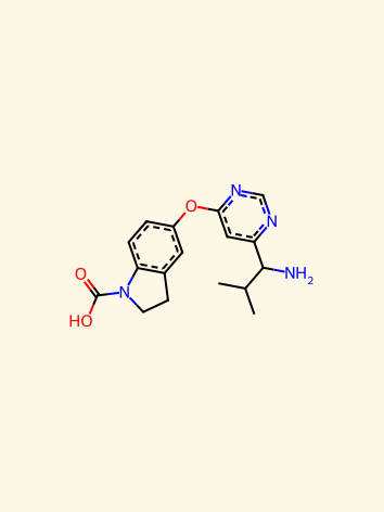 CC(C)C(N)c1cc(Oc2ccc3c(c2)CCN3C(=O)O)ncn1